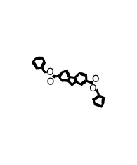 O=C(OCc1ccccc1)c1ccc2c(c1)Cc1cc(C(=O)OCc3ccccc3)ccc1-2